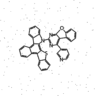 c1cncc(-c2nc(-n3c4ccccc4c4c5ccccc5c5c6ccccc6sc5c43)nc3oc4ccccc4c23)c1